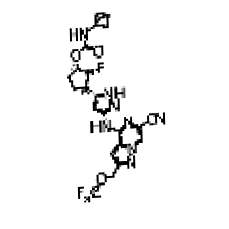 N#Cc1cn2nc(COC(F)(F)F)cc2c(Nc2cc([C@@H]3CC[C@H](OC(=O)NC45CC(C4)C5)[C@H]3F)[nH]n2)n1